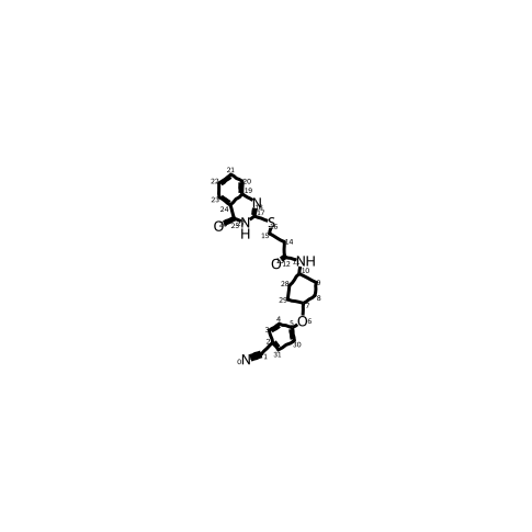 N#Cc1ccc(OC2CCC(NC(=O)CCSc3nc4ccccc4c(=O)[nH]3)CC2)cc1